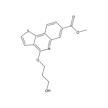 COC(=O)c1ccc2c(c1)nc(OCCCO)c1ccsc12